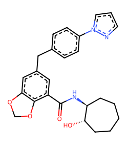 O=C(N[C@H]1CCCCC[C@@H]1O)c1cc(Cc2ccc(-n3cccn3)cc2)cc2c1OCO2